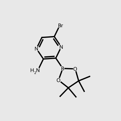 CC1(C)OB(c2nc(Br)cnc2N)OC1(C)C